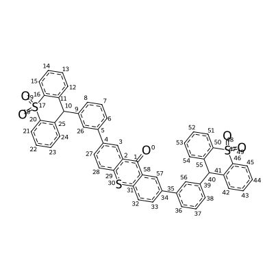 O=c1c2cc(-c3cccc(C4c5ccccc5S(=O)(=O)c5ccccc54)c3)ccc2sc2ccc(-c3cccc(C4c5ccccc5S(=O)(=O)c5ccccc54)c3)cc12